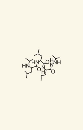 CCCC(NC(=O)C(CC(C)C)NC(=O)C(CC(C)C)NC(C)C)C(=O)NNC(C)C